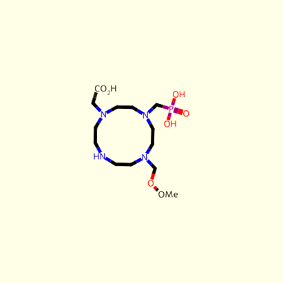 COOCN1CCNCCN(CC(=O)O)CCN(CP(=O)(O)O)CC1